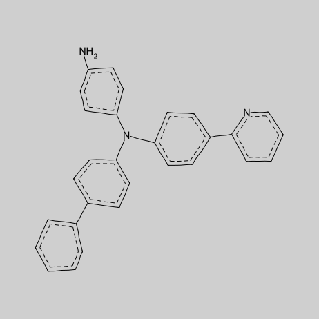 Nc1ccc(N(c2ccc(-c3ccccc3)cc2)c2ccc(-c3ccccn3)cc2)cc1